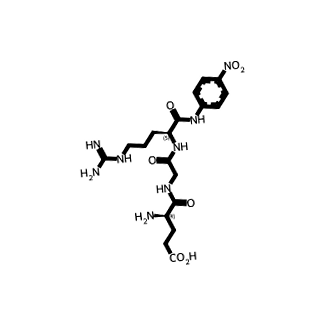 N=C(N)NCCC[C@H](NC(=O)CNC(=O)[C@H](N)CCC(=O)O)C(=O)Nc1ccc([N+](=O)[O-])cc1